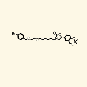 CC1(C)OCc2cc([C@@H]3CN(CCCCCCOCCOCc4ccc(Br)cc4)C(=O)O3)ccc2O1